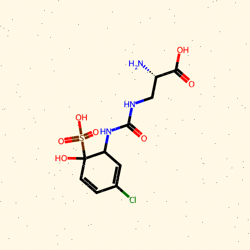 N[C@@H](CNC(=O)NC1C=C(Cl)C=CC1(O)S(=O)(=O)O)C(=O)O